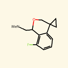 CNCC1OCC2(CC2)c2cccc(F)c21